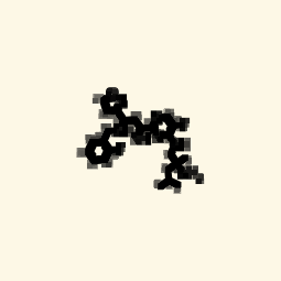 CC(C)CC(C)(N)CNc1nc(C(=N)/C=C(\NCc2ccccc2F)c2ccon2)ncc1F